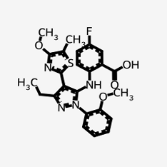 CCc1nn(-c2ccccc2OC)c(Nc2ccc(F)cc2C(=O)O)c1-c1nc(OC)c(C)s1